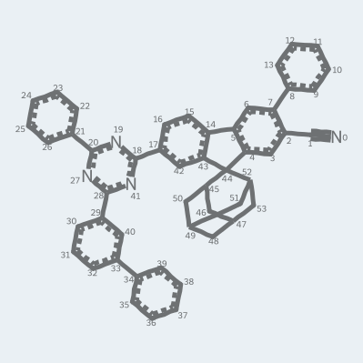 N#Cc1cc2c(cc1-c1ccccc1)-c1ccc(-c3nc(-c4ccccc4)nc(-c4cccc(-c5ccccc5)c4)n3)cc1C21C2CC3CC(C2)CC1C3